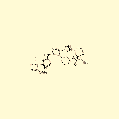 COc1cccc(F)c1-c1nccc(Nc2cc(N3CCC[C@H](NC(=O)OC(C)(C)C)C3)c(-c3cnn(C4CCOCC4)c3)cn2)n1